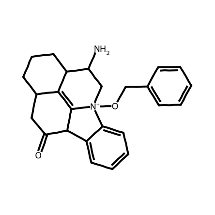 NC1C[N+]2(OCc3ccccc3)C3=C4C(CCCC41)CC(=O)C3c1ccccc12